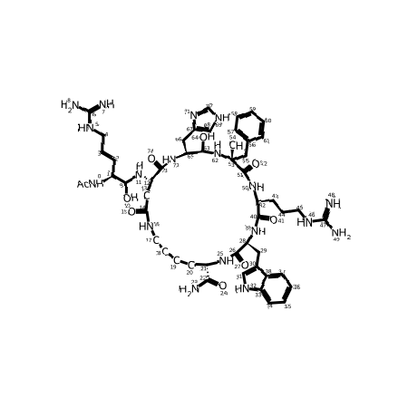 CC(=O)N[C@@H](CCCNC(=N)N)C(O)N[C@H]1CC(=O)NCCCC[C@@H](C(N)=O)NC(=O)[C@H](Cc2c[nH]c3ccccc23)NC(=O)[C@H](CCCNC(=N)N)NC(=O)[C@@](C)(Cc2ccccc2)NC(O)[C@H](Cc2c[nH]cn2)NC1=O